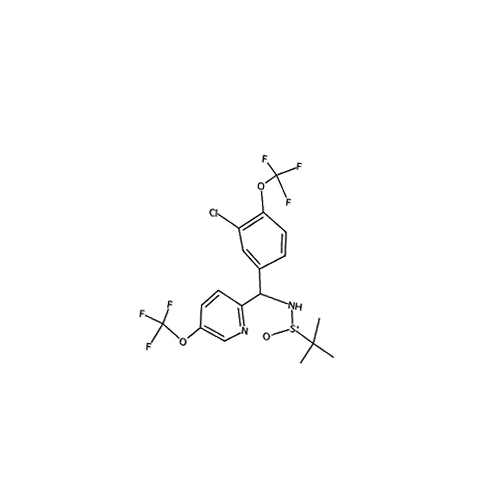 CC(C)(C)[S+]([O-])NC(c1ccc(OC(F)(F)F)c(Cl)c1)c1ccc(OC(F)(F)F)cn1